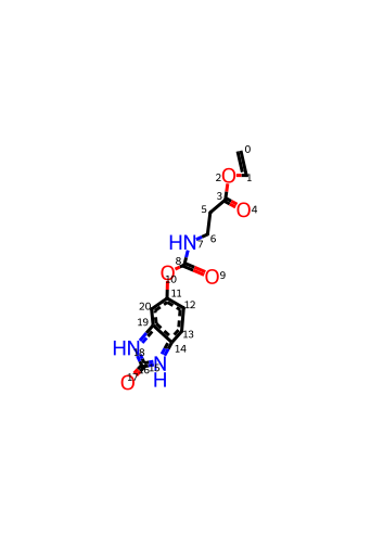 C=COC(=O)CCNC(=O)Oc1ccc2[nH]c(=O)[nH]c2c1